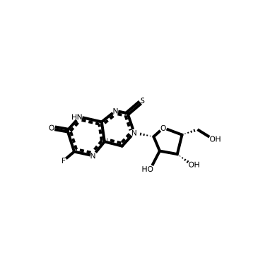 O=c1[nH]c2nc(=S)n([C@@H]3O[C@H](CO)[C@H](O)C3O)cc2nc1F